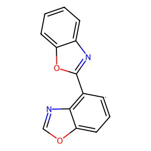 [c]1ccc2ocnc2c1-c1nc2ccccc2o1